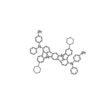 CC(C)c1ccc(N(c2ccccc2)c2ccc3c4cc5c(cc4n4c6cc(C7CCCCC7)ccc6c2c34)c2ccc(N(c3ccccc3)c3ccc(C(C)C)cc3)c3c4ccc(C6CCCCC6)cc4n5c23)cc1